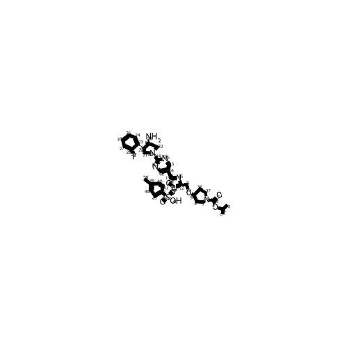 CC(C)OC(=O)N1CCC(OCc2noc(-c3cnc(N4C[C@H](c5ccccc5F)[C@@H](N)C4)nc3)n2)CC1.Cc1ccc(S(=O)(=O)O)cc1